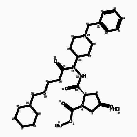 CC(C)(C)OC(=O)N1CC(=O)C[C@H]1C(=O)NN(C(=O)CCSCC1CCCCC1)C1CCN(Cc2ccccc2)CC1.Cl